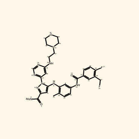 CNC(=O)c1cc(Nc2cc(NC(=O)c3ccc(F)c(CF)c3)ccc2C)n(-c2cc(NCCN3CCOCC3)ncn2)n1